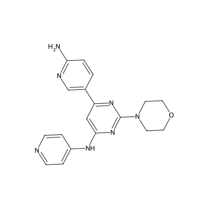 Nc1ccc(-c2cc(Nc3ccncc3)nc(N3CCOCC3)n2)cn1